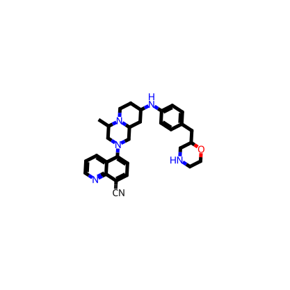 CC1CN(c2ccc(C#N)c3ncccc23)CC2CC(Nc3ccc(CC4CNCCO4)cc3)CCN12